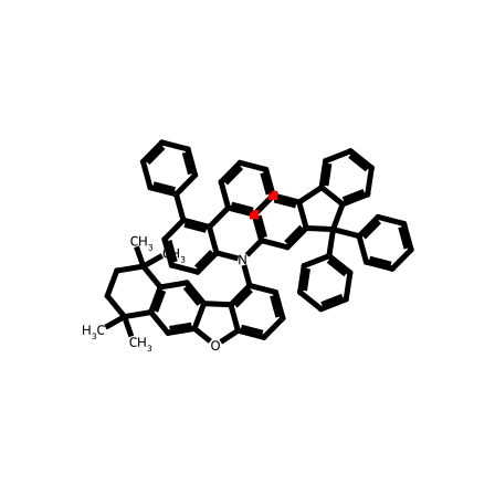 CC1(C)CCC(C)(C)c2cc3c(cc21)oc1cccc(N(c2ccc4c(c2)C(c2ccccc2)(c2ccccc2)c2ccccc2-4)c2cccc(-c4ccccc4)c2-c2ccccc2)c13